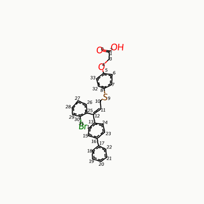 O=C(O)COc1ccc(SCC=C(c2ccc(-c3ccccc3)cc2)c2ccccc2Br)cc1